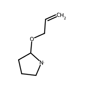 C=CCOC1CCC[N]1